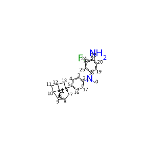 CN(c1ccc(C23CC4CC5CC(C2)C53C4)cc1)c1ccc(N)c(F)c1